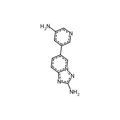 Nc1cncc(-c2ccc3nc(N)nn3c2)c1